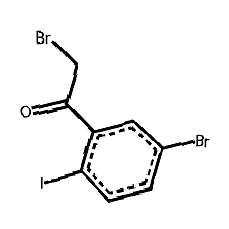 O=C(CBr)c1cc(Br)ccc1I